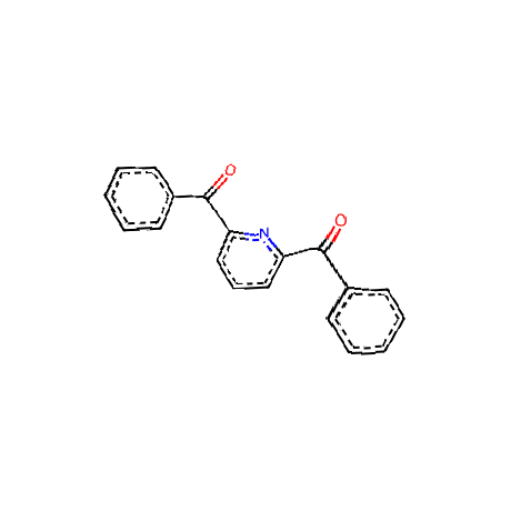 O=C(c1ccccc1)c1cccc(C(=O)c2ccccc2)n1